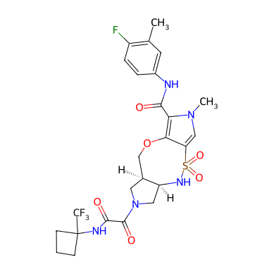 Cc1cc(NC(=O)c2c3c(cn2C)S(=O)(=O)N[C@H]2CN(C(=O)C(=O)NC4(C(F)(F)F)CCC4)C[C@H]2CO3)ccc1F